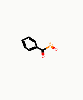 O=[PH2]C(=O)c1ccccc1